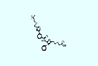 C[Si](C)(C)CCOCn1cc(-c2cccc(C(=O)Nc3nc(CCCCC(=O)O)cn3-c3ccccc3)c2)cn1